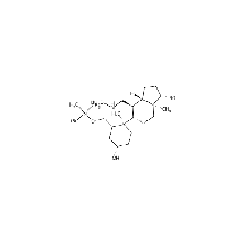 CC[C@H]1CC[C@H]2[C@H](CNC(=O)O)[C@@H]([C@@]3(C)CC[C@H](O)C[C@@H]3CO[Si](C)(C)C(C)(C)C)CC[C@]12C